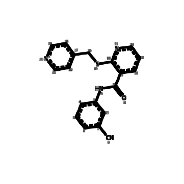 N#Cc1cccc(NC(=O)c2cccnc2SCc2ccncc2)c1